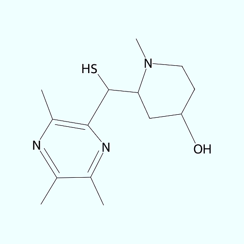 Cc1nc(C)c(C(S)C2CC(O)CCN2C)nc1C